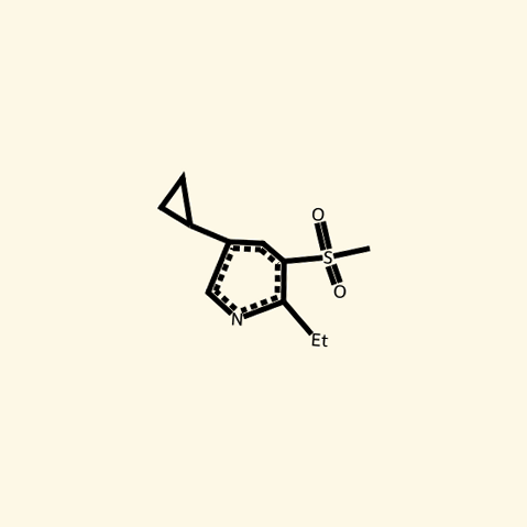 CCc1ncc(C2CC2)cc1S(C)(=O)=O